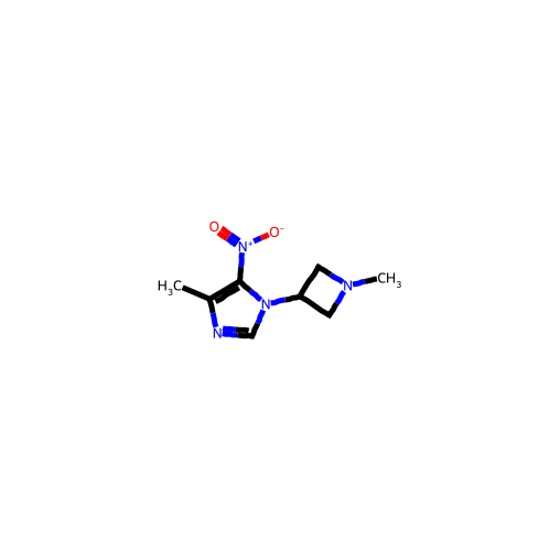 Cc1ncn(C2CN(C)C2)c1[N+](=O)[O-]